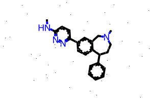 CNc1ccc(-c2ccc3c(c2)CN(C)CCC3c2ccccc2)nn1